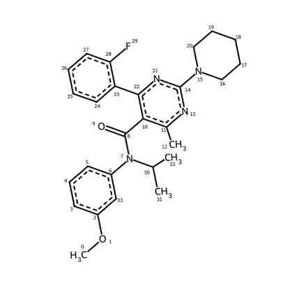 COc1cccc(N(C(=O)c2c(C)nc(N3CCCCC3)nc2-c2ccccc2F)C(C)C)c1